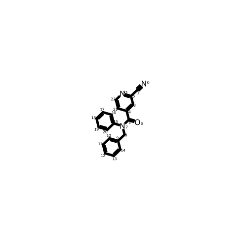 N#Cc1cc(C(=O)N(Cc2ccccc2)c2ccccc2)ccn1